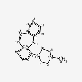 CN1CCN(c2cccc3c2Sc2ccncc2N=C3)CC1